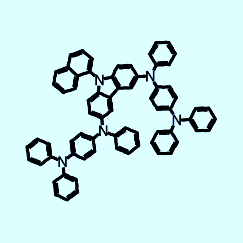 c1ccc(N(c2ccccc2)c2ccc(N(c3ccccc3)c3ccc4c(c3)c3cc(N(c5ccccc5)c5ccc(N(c6ccccc6)c6ccccc6)cc5)ccc3n4-c3cccc4ccccc34)cc2)cc1